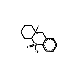 O=[SH]1(S)c2ccccc2C[C@H]2CCCCC21